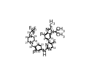 Cc1nc2c(F)cc(-c3nc(Nc4ccc(CN5CCN(CC(F)(F)F)CC5)c(F)c4)ncc3F)cc2n1C(C)C